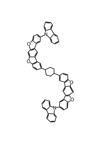 c1ccc2c(c1)c1ccccc1n2-c1ccc2oc3cc4oc5ccc(C6CCC(c7ccc8oc9cc%10oc%11ccc(-n%12c%13ccccc%13c%13ccccc%13%12)cc%11c%10cc9c8c7)CC6)cc5c4cc3c2c1